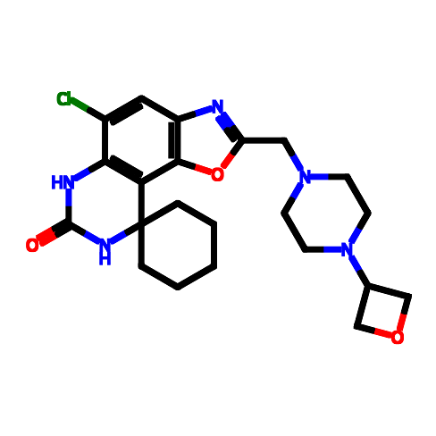 O=C1Nc2c(Cl)cc3nc(CN4CCN(C5COC5)CC4)oc3c2C2(CCCCC2)N1